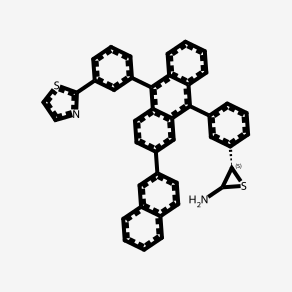 NC1S[C@H]1c1cccc(-c2c3ccccc3c(-c3cccc(-c4nccs4)c3)c3ccc(-c4ccc5ccccc5c4)cc23)c1